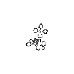 c1ccc(-c2cccc3oc4cccc(N(c5ccc([Si](c6ccccc6)(c6ccccc6)c6ccccc6)cc5)c5ccc6c(c5)oc5ccccc56)c4c23)cc1